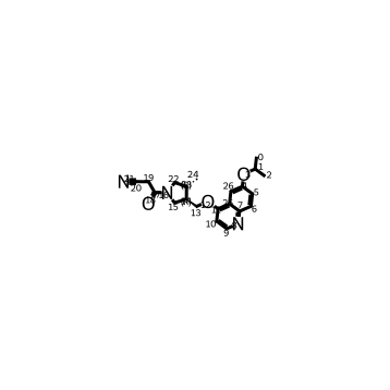 CC(C)Oc1ccc2nccc(OC[C@H]3CN(C(=O)CC#N)C[C@@H]3C)c2c1